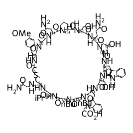 CCCC[C@H]1C(=O)N(C)[C@@H](CCCC)C(=O)N[C@@H](CC(C)C)C(=O)N[C@H](CNCC(N)=O)CSCC(=O)N[C@H]2Cc3ccc(OC)cc3N(C2=O)[C@@H](C)C(=O)N[C@@H](CC(N)=O)C(=O)N2CCC[C@H]2C(=O)N[C@@H](CO)C(=O)N[C@@H](CCC(N)=O)C(=O)N2C[C@H](O)C[C@H]2C(=O)N[C@@H](Cc2c[nH]c3ccccc23)C(=O)N[C@@H](CO)C(=O)N[C@@H](Cc2cn(CC(=O)O)c3ccccc23)C(=O)N1C